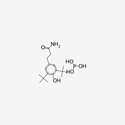 CC(C)(C)c1cc(CCC(N)=O)cc(C(C)(C)C)c1O.OP(O)O